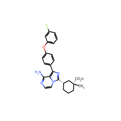 C[C@@]1(C(=O)O)CCC[C@H](c2nc(-c3ccc(Oc4cccc(F)c4)cc3)c3c(N)nccn23)C1